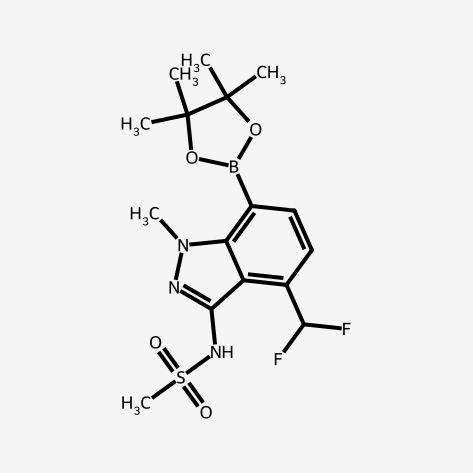 Cn1nc(NS(C)(=O)=O)c2c(C(F)F)ccc(B3OC(C)(C)C(C)(C)O3)c21